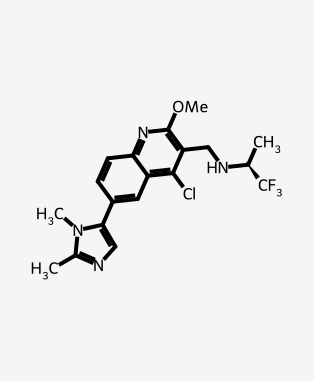 COc1nc2ccc(-c3cnc(C)n3C)cc2c(Cl)c1CN[C@@H](C)C(F)(F)F